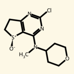 CN(c1nc(Cl)nc2c1[S@@+]([O-])CC2)C1CCOCC1